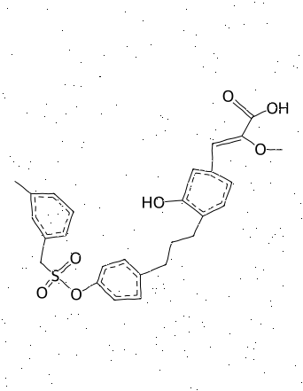 COC(=Cc1ccc(CCCc2ccc(OS(=O)(=O)Cc3cccc(C)c3)cc2)c(O)c1)C(=O)O